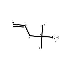 C=[C]CC(C)(C)O